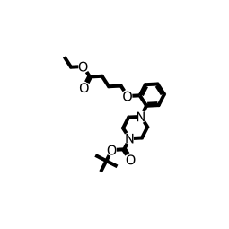 CCOC(=O)CCCOc1ccccc1N1CCN(C(=O)OC(C)(C)C)CC1